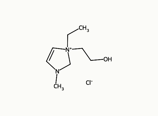 CC[N+]1(CCO)C=CN(C)C1.[Cl-]